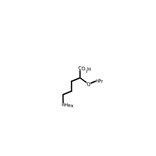 CCCCCCCCCC(OCCC)C(=O)O